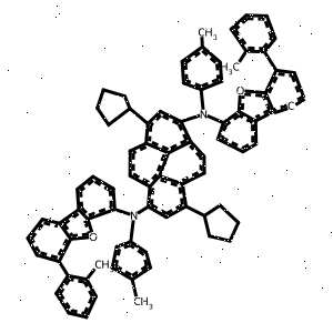 Cc1ccc(N(c2cc(C3CCCC3)c3ccc4c(N(c5ccc(C)cc5)c5cccc6c5oc5c(-c7ccccc7C)cccc56)cc(C5CCCC5)c5ccc2c3c54)c2cccc3c2oc2c(-c4ccccc4C)cccc23)cc1